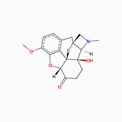 COc1ccc2c3c1O[C@H]1C(=O)CC[C@@]4(O)[C@@H]5N(C)C[C@]5(C2)C[C@]314